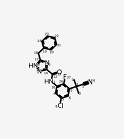 CC(C)(C#N)c1cc(Cl)cc(NC(=O)c2n[nH]c(Cc3ccccc3)n2)c1F